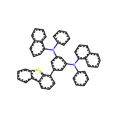 c1ccc(N(c2cc(-c3cccc4c3sc3ccccc34)cc(N(c3ccccc3)c3cccc4ccccc34)c2)c2cccc3ccccc23)cc1